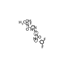 CC1(O)CN(C(=O)c2nc(N3CCN(C(=O)N4N=CC[C@H]4c4cc(F)cc(F)c4)CC3)ncc2F)C1